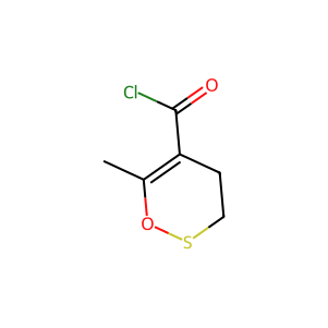 CC1=C(C(=O)Cl)CCSO1